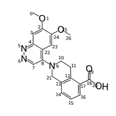 COc1cc2nncc(N3CCc4c(cccc4C(=O)O)C3)c2cc1OC